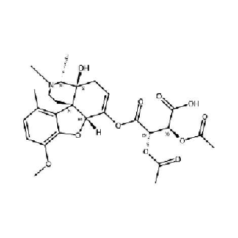 COc1ccc(C)c2c1O[C@H]1C(OC(=O)[C@@H](OC(C)=O)[C@H](OC(C)=O)C(=O)O)=CC[C@@]3(O)[C@@H](C)N(C)CC[C@]213